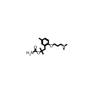 Cc1ccc(OCCCN(C)C)c(CC(C)(C)OC(N)=O)c1